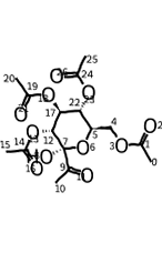 CC(=O)OC[C@H]1O[C@@](O)(C(C)=O)[C@H](OC(C)=O)[C@@H](OC(C)=O)[C@@H]1OC(C)=O